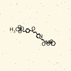 CS(=O)(=O)OCc1ccc(C(=O)/C=C/c2ccc(/C=C/C(=O)NOC3CCCCO3)nc2)cc1